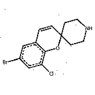 Clc1cc(Br)cc2c1OC1(C=C2)CCNCC1